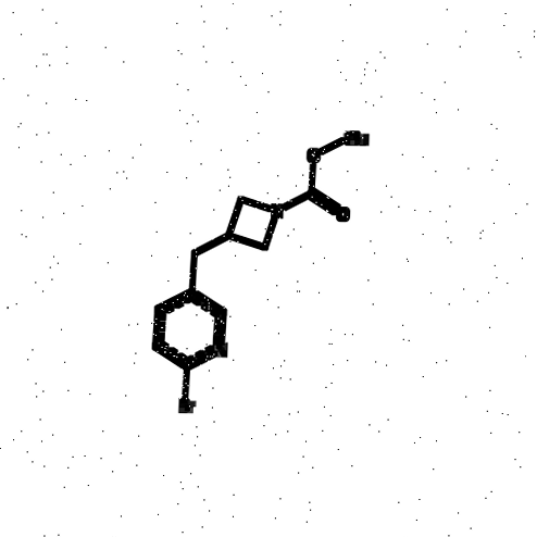 CC(C)(C)OC(=O)N1CC(Cc2ccc(Br)nc2)C1